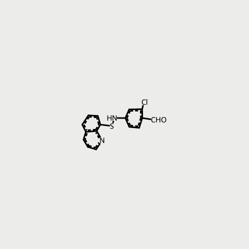 O=Cc1ccc(NSc2cccc3cccnc23)cc1Cl